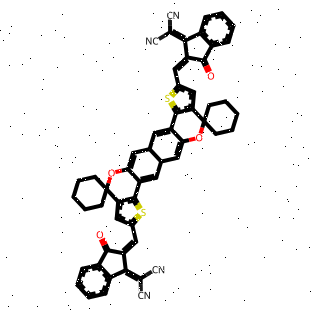 N#CC(C#N)=C1/C(=C/c2cc3c(s2)C2=CC4C=C5OC6(CCCCC6)c6cc(/C=C7\C(=O)c8ccccc8C7=C(C#N)C#N)sc6C5=CC4C=C2OC32CCCCC2)C(=O)c2ccccc21